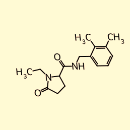 CCN1C(=O)CCC1C(=O)NCc1cccc(C)c1C